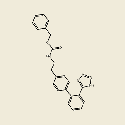 O=C(NCCc1ccc(-c2ccccc2-c2nnn[nH]2)cc1)OCc1ccccc1